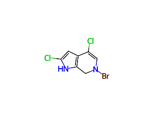 ClC1=CN(Br)Cc2[nH]c(Cl)cc21